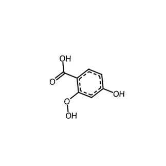 O=C(O)c1ccc(O)cc1OO